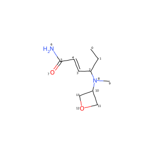 CCC(C=CC(N)=O)N(C)C1COC1